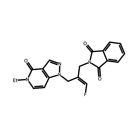 CCn1ccc2c(cnn2CC(=CF)CN2C(=O)c3ccccc3C2=O)c1=O